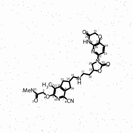 CNC(=O)COc1nc(C#N)c2c(c1C)CC(CNCCC1CN(c3ccc4c(n3)NC(=O)CO4)C(=O)O1)C2